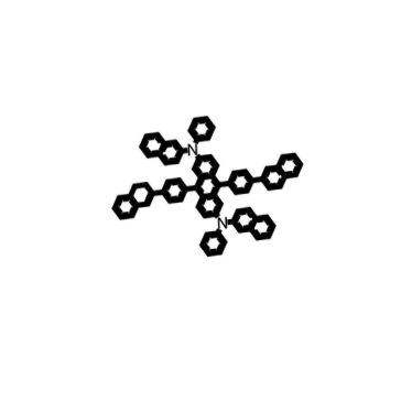 C1=C(c2ccc(-c3c4ccc(N(c5ccccc5)c5ccc6ccccc6c5)cc4c(-c4ccc(-c5ccc6ccccc6c5)cc4)c4ccc(N(c5ccccc5)c5ccc6ccccc6c5)cc34)cc2)CCc2ccccc21